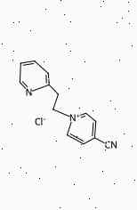 N#Cc1cc[n+](CCc2ccccn2)cc1.[Cl-]